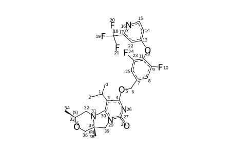 CC(C)c1c(OCc2cc(F)c(Oc3ccnc(C(F)(F)F)c3)c(F)c2)nc(=O)n2c1N1C[C@H](C)OC[C@@]1(C)C2